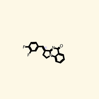 O=c1nc2n(c3ccccc13)CC/C2=C\c1ccc(F)c(F)c1